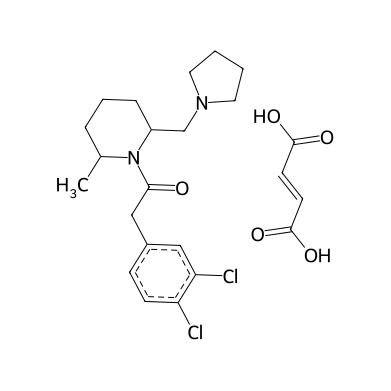 CC1CCCC(CN2CCCC2)N1C(=O)Cc1ccc(Cl)c(Cl)c1.O=C(O)C=CC(=O)O